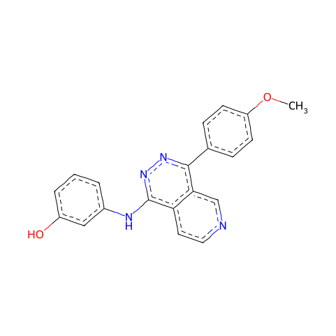 COc1ccc(-c2nnc(Nc3cccc(O)c3)c3ccncc23)cc1